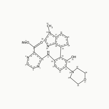 COC(=O)c1nccnc1Nc1ccc(N2CCOCC2)c(O)c1-c1cccc2c1ncn2C